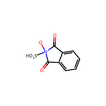 [O][N+]1(S(=O)(=O)O)C(=O)c2ccccc2C1=O